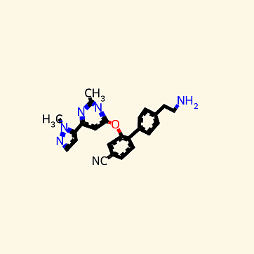 Cc1nc(Oc2cc(C#N)ccc2-c2ccc(CCN)cc2)cc(-c2ccnn2C)n1